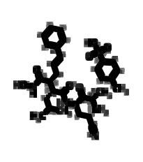 CC(C)C[C@@H](C(=O)NN(CCC#N)C(=O)[C@@H](C)N)[C@H](CC=Cc1ccccc1)C(=O)NO.Cc1ccc(S(=O)(=O)O)cc1